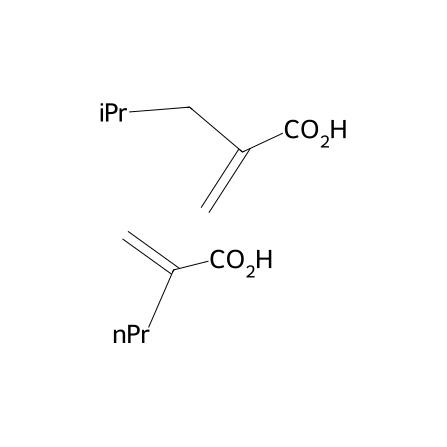 C=C(CC(C)C)C(=O)O.C=C(CCC)C(=O)O